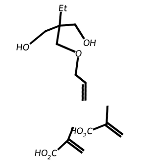 C=C(C)C(=O)O.C=C(C)C(=O)O.C=CCOCC(CC)(CO)CO